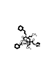 CCCC(C[C@](C)(CCC)[C@H](C/C=C/c1ccccc1)C(=O)NOCc1ccccc1)(C(=O)Cn1ccnc1)C(=O)NN